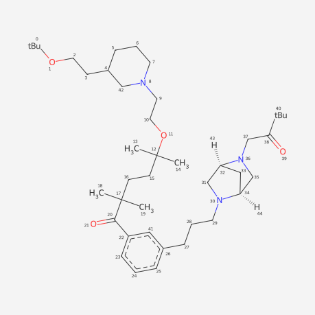 CC(C)(C)OCCC1CCCN(CCOC(C)(C)CCC(C)(C)C(=O)c2cccc(CCCN3C[C@@H]4C[C@H]3CN4CC(=O)C(C)(C)C)c2)C1